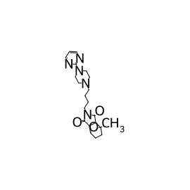 CC12CCC(O1)C1C(=O)N(CCCCN3CCN(c4ncccn4)CC3)C(=O)C12